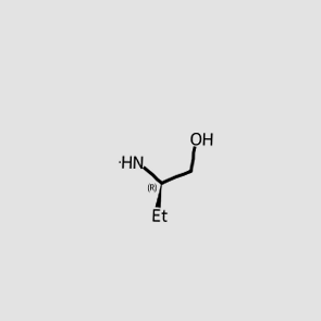 CC[C@@H]([NH])CO